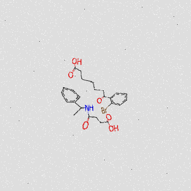 CC(NC(=O)CCC(=O)O)c1ccccc1.O=C(O)CCCCCC(=O)c1ccccc1Br